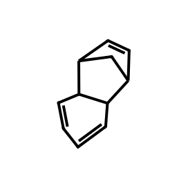 C1=CC2C3C=CC(C3)C2C=C1